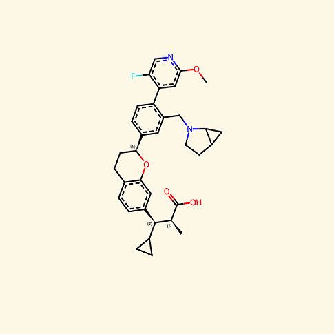 COc1cc(-c2ccc([C@@H]3CCc4ccc([C@H](C5CC5)[C@H](C)C(=O)O)cc4O3)cc2CN2CCC3CC32)c(F)cn1